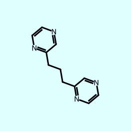 c1cnc(CCCc2cnccn2)cn1